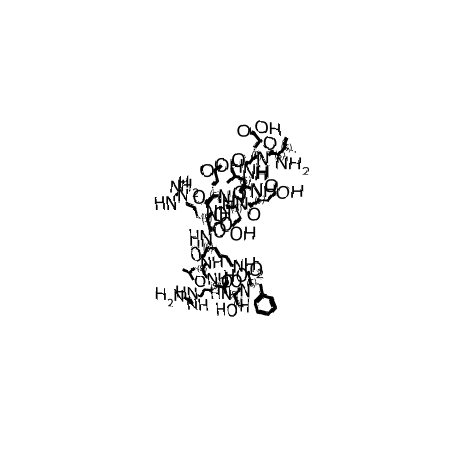 CC[C@H](C)[C@H](N)C(=O)N[C@@H](CCC(=O)O)C(=O)N[C@H](C(=O)N[C@@H](CC(=O)O)C(=O)N[C@@H](CC(=O)O)C(=O)N[C@@H](CCC(=O)O)C(=O)N[C@@H](CCCNC(=N)N)C(=O)N[C@@H](CCCCN)C(=O)N[C@@H](CC(C)C)C(=O)N[C@@H](CCCNC(=N)N)C(=O)N[C@H](C(=O)N[C@@H](Cc1ccccc1)C(=O)O)[C@@H](C)O)C(C)C